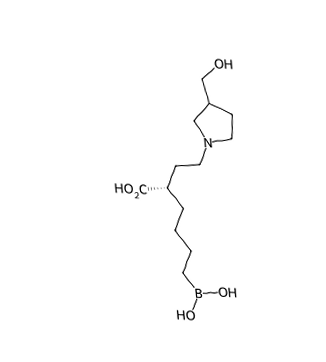 O=C(O)[C@@H](CCCCB(O)O)CCN1CCC(CO)C1